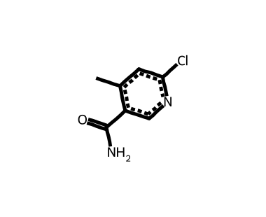 Cc1cc(Cl)ncc1C(N)=O